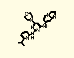 CC(C)c1cccc(Nc2nc(Nc3ccn4ccnc4c3)cc(N3CCOCC3)n2)n1